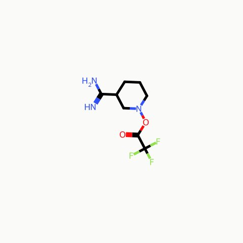 N=C(N)C1CCCN(OC(=O)C(F)(F)F)C1